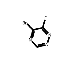 Fc1nn[c]nc1Br